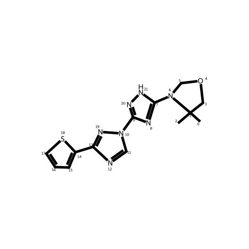 CC1(C)COCN1c1nc(-n2cnc(-c3cccs3)n2)n[nH]1